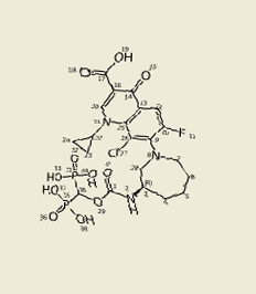 O=C(N[C@@H]1CCCCN(c2c(F)cc3c(=O)c(C(=O)O)cn(C4CC4)c3c2Cl)C1)OC(P(=O)(O)O)P(=O)(O)O